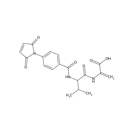 C=C(NC(=O)C(NC(=O)c1ccc(N2C(=O)C=CC2=O)cc1)C(C)C)C(=O)O